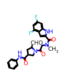 CN(CC(=O)N1CC(C(=O)Nc2ccccc2)CC1C=O)C(=O)c1cc2c(F)cc(F)cc2[nH]1